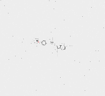 Cc1ccc2c(N)c(C(=O)N[C@H]3COc4cc(N5CC6COCC(C5)C6(F)F)ccc4C3)sc2n1